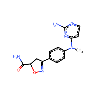 CN(c1ccc(C2=NOC(C(N)=O)C2)cc1)c1ccnc(N)n1